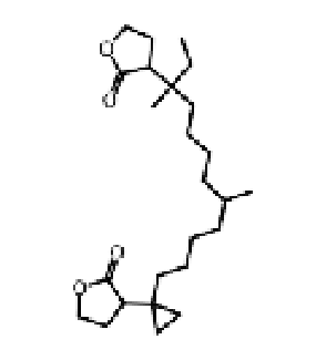 CCC(C)(CCCCC(C)CCCCC1(C2CCOC2=O)CC1)C1CCOC1=O